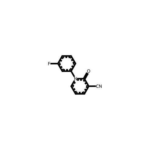 N#Cc1cccn(-c2cccc(F)c2)c1=O